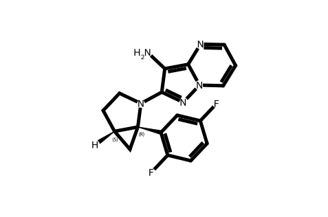 Nc1c(N2CC[C@H]3C[C@]32c2cc(F)ccc2F)nn2cccnc12